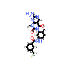 Cc1ccc(NC(=O)c2cccc(CF)c2)cc1-n1c(=O)c2cnc(N)nc2n(C)c1=O